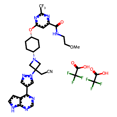 COCCNC(=O)c1cc(O[C@H]2CC[C@@H](N3CC(CC#N)(n4cc(-c5ncnc6[nH]ccc56)cn4)C3)CC2)nc(C(F)(F)F)n1.O=C(O)C(F)(F)F.O=C(O)C(F)(F)F